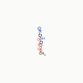 CCOC(=O)CC1COc2cc(C(=O)Nc3ccc(C=NN4CCCCC4)cc3)ccc2C1